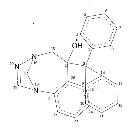 OC1(C2(c3ccccc3)c3ccccc32)CN2CN(C=N2)c2ccccc21